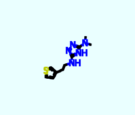 CN(C)c1nnc(NCCc2ccsc2)[nH]1